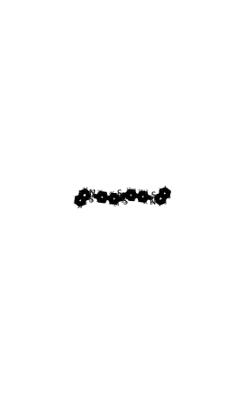 c1ccc2c(c1)ccc1nc(-c3ccc(-c4ccc5c(c4)sc4c6ccc(-c7ccc(-c8nc9ccc%10ccccc%10c9s8)cc7)cc6sc54)cc3)sc12